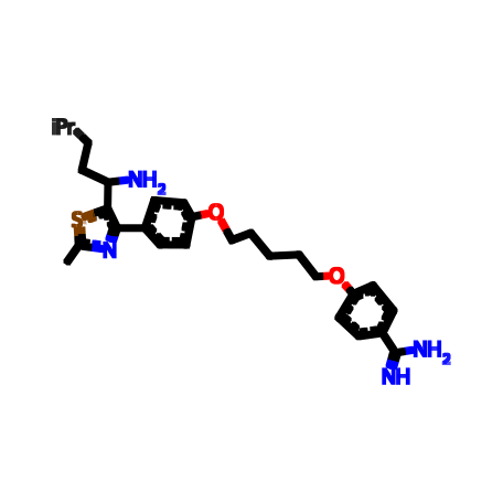 Cc1nc(-c2ccc(OCCCCCOc3ccc(C(=N)N)cc3)cc2)c(C(N)CCC(C)C)s1